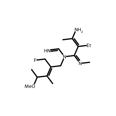 CCC(/C(=N\C)N(C=N)C/C(CF)=C(\C)C(C)OC)=C(/C)N